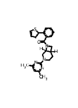 Cc1cc(C)nc(N2CC[C@H]3CN(C(=O)c4ccccc4C4CC=CS4)[C@H]3C2)n1